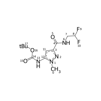 Cn1nc(C(=O)NCC(F)F)cc1NC(=O)OC(C)(C)C